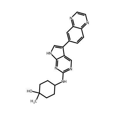 CC1(O)CCC(Nc2ncc3c(-c4ccc5nccnc5c4)c[nH]c3n2)CC1